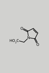 O=C(O)CN1C(=O)C=CC1=O